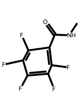 CNC(=O)c1c(F)c(F)c(F)c(F)c1F